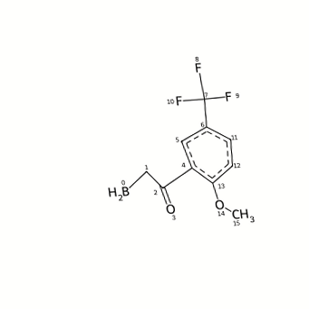 BCC(=O)c1cc(C(F)(F)F)ccc1OC